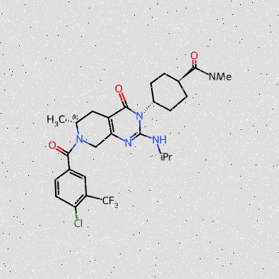 CNC(=O)[C@H]1CC[C@H](n2c(NC(C)C)nc3c(c2=O)C[C@@H](C)N(C(=O)c2ccc(Cl)c(C(F)(F)F)c2)C3)CC1